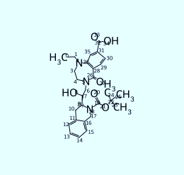 CCN1CCN(CC(O)[C@@H]2Cc3ccccc3CN2C(=O)OC(C)(C)C)C(=O)c2ccc(C(=O)O)cc21